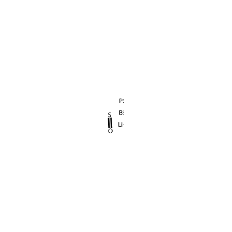 O=S.[B].[Li].[P]